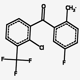 [CH2]c1ccc(F)cc1C(=O)c1cccc(C(F)(F)F)c1Cl